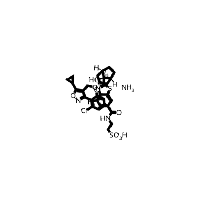 N.O=C(NCCS(=O)(=O)O)c1cc(F)c2nc([C@]3(O)[C@@H]4CC[C@H]3C[C@H](OCc3c(-c5c(Cl)cccc5Cl)noc3C3CC3)C4)sc2c1